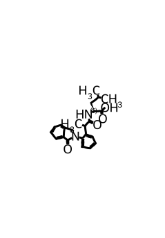 CC(C)C[C@H](NC(=O)C(C)c1ccccc1N1Cc2ccccc2C1=O)C(=O)O